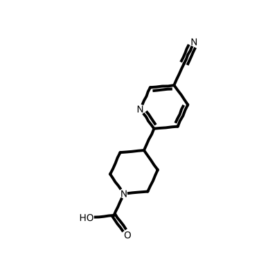 N#Cc1ccc(C2CCN(C(=O)O)CC2)nc1